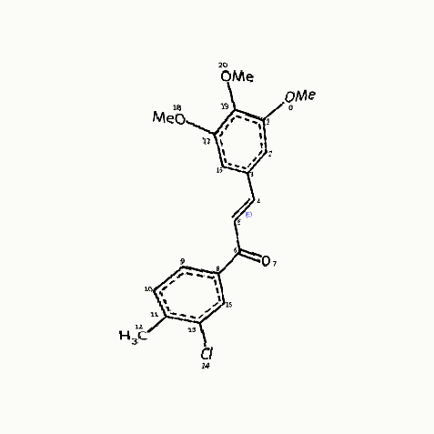 COc1cc(/C=C/C(=O)c2ccc(C)c(Cl)c2)cc(OC)c1OC